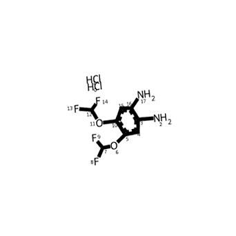 Cl.Cl.Nc1cc(OC(F)F)c(OC(F)F)cc1N